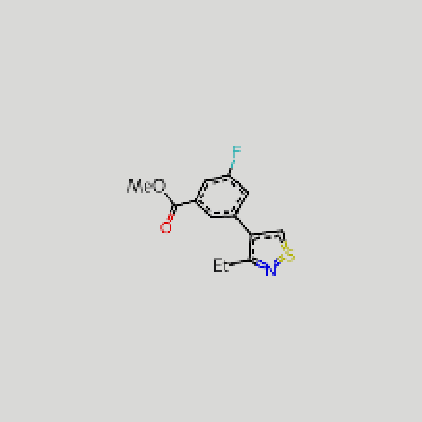 CCc1nscc1-c1cc(F)cc(C(=O)OC)c1